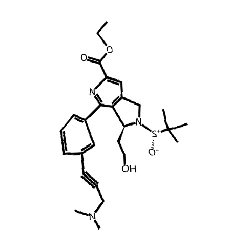 CCOC(=O)c1cc2c(c(-c3cccc(C#CCN(C)C)c3)n1)[C@H](CCO)N([S@@+]([O-])C(C)(C)C)C2